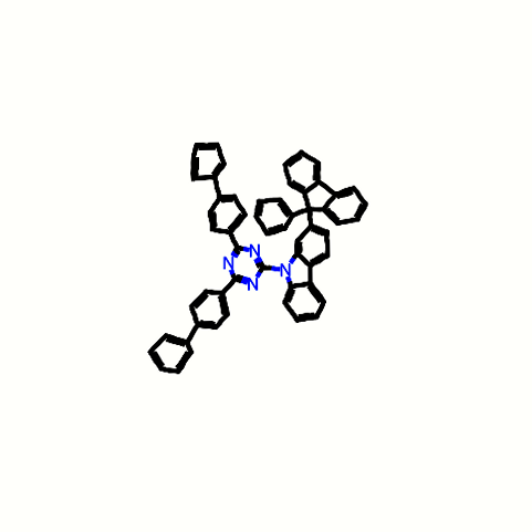 c1ccc(-c2ccc(-c3nc(-c4ccc(-c5ccccc5)cc4)nc(-n4c5ccccc5c5ccc(C6(c7ccccc7)c7ccccc7-c7ccccc76)cc54)n3)cc2)cc1